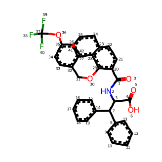 O=C(NC(C(=O)O)C(c1ccccc1)c1ccccc1)c1ccc2ccccc2c1OCc1ccc(OC(F)(F)F)cc1